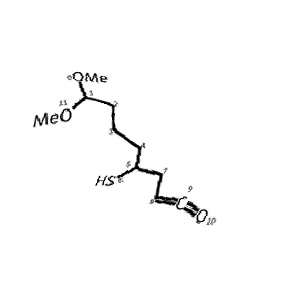 COC(CCCC(S)CC=C=O)OC